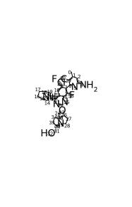 Cc1cc(N)nc(-c2c(Cl)cc3c(N4CC5CCC(C4)N5)nc(OC[C@@]45CCCN4[C@H](CO)CC5)nc3c2F)c1C(F)(F)F